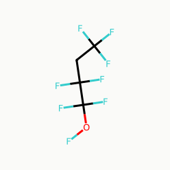 FOC(F)(F)C(F)(F)CC(F)(F)F